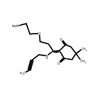 CC#CCNC(CCOCCNC)=C1C(=O)CC(C)(C)CC1=O